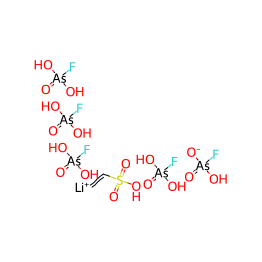 C=CS(=O)(=O)O.O=[As](O)(O)F.O=[As](O)(O)F.O=[As](O)(O)F.O=[As](O)(O)F.O=[As]([O-])(O)F.[Li+]